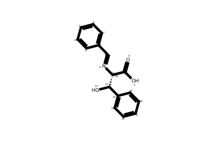 O=C(O)[C@@H](N=Cc1ccccc1)C(O)c1ccccc1